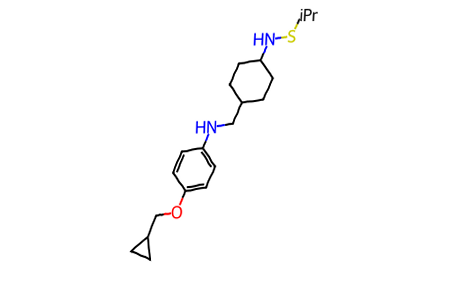 CC(C)SNC1CCC(CNc2ccc(OCC3CC3)cc2)CC1